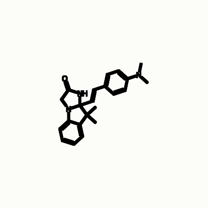 CN(C)c1ccc(C=CC23NC(=O)CN2c2ccccc2C3(C)C)cc1